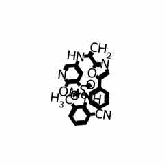 C=C(Nc1cnc(OC)c(S(=O)(=O)Nc2c(C)cccc2C#N)c1)c1ncc(-c2ccccc2)o1